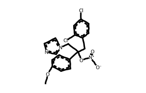 COc1ccc(C(Cc2ccc(Cl)cc2Cl)(Cn2ccnc2)O[N+](=O)[O-])cc1